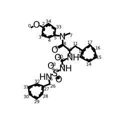 COc1ccc(N(C)C(=O)C(Cc2ccccc2)NC(=O)NS(=O)(=O)NCc2ccccc2)cc1